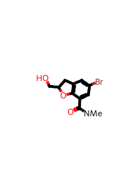 CNC(=O)c1cc(Br)cc2c1OC(CO)C2